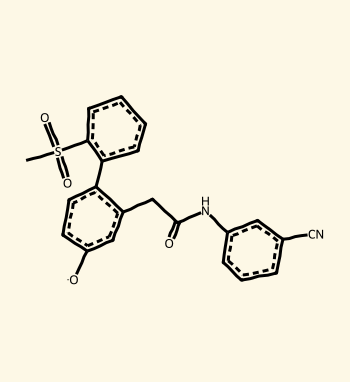 CS(=O)(=O)c1ccccc1-c1ccc([O])cc1CC(=O)Nc1cccc(C#N)c1